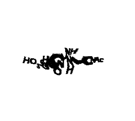 CC(=O)N1CCC(CCNC(=N)[C@@H]2CC[C@@H]3CN2C(=O)N3OS(=O)(=O)O)CC1